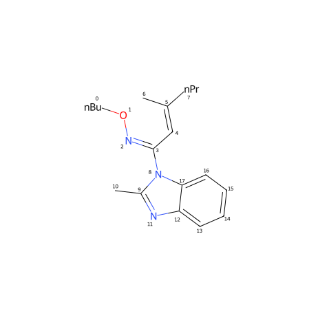 CCCCON=C(C=C(C)CCC)n1c(C)nc2ccccc21